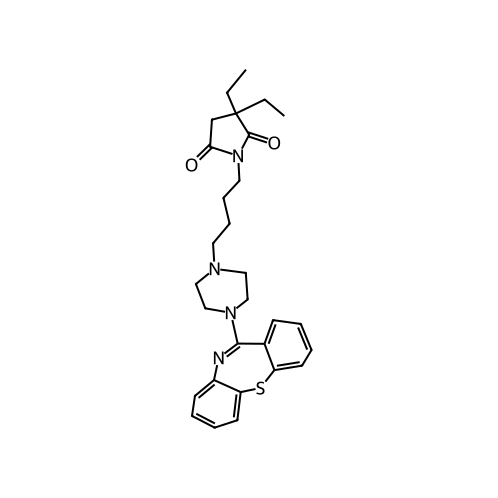 CCC1(CC)CC(=O)N(CCCCN2CCN(C3=Nc4ccccc4Sc4ccccc43)CC2)C1=O